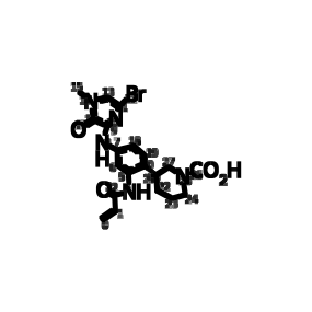 C=CC(=O)Nc1cc(Nc2nc(Br)cn(C)c2=O)ccc1[C@@H]1CCCN(C(=O)O)C1